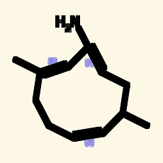 C/C1=C\C(N)=C\CC(C)/C=C\CC1